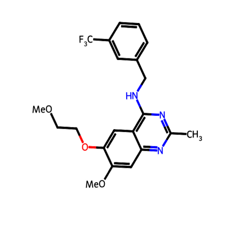 COCCOc1cc2c(NCc3cccc(C(F)(F)F)c3)nc(C)nc2cc1OC